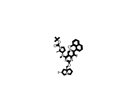 C[C@@H]1[C@H](N(C)c2nc(OC[C@@]34CCCN3C[C@H](F)C4)nc3c(F)c(-c4cccc5cccc(Cl)c45)ncc23)CCN1C(=O)OC(C)(C)C